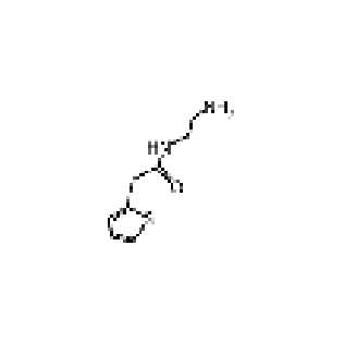 NCCNC(=O)Cc1cccs1